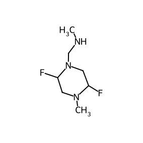 CNCN1CC(F)N(C)CC1F